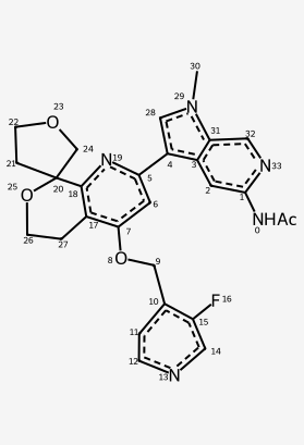 CC(=O)Nc1cc2c(-c3cc(OCc4ccncc4F)c4c(n3)C3(CCOC3)OCC4)cn(C)c2cn1